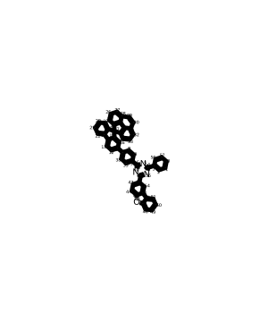 c1ccc(-c2nc(-c3ccc(-c4ccc5c(c4)C4(c6ccccc6-5)c5cccc6ccc7cccc4c7c56)cc3)nc(-c3ccc4oc5ccccc5c4c3)n2)cc1